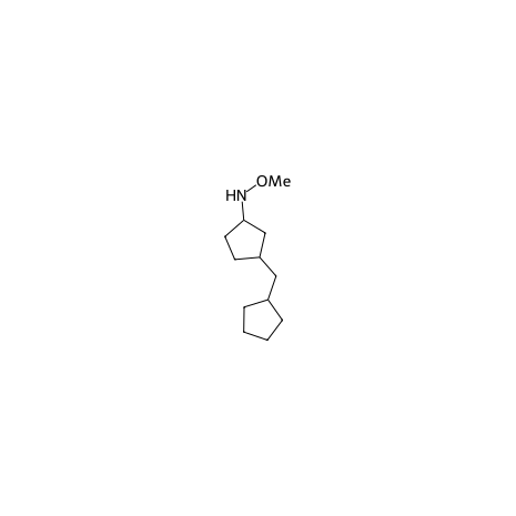 CONC1CCC(CC2CCCC2)C1